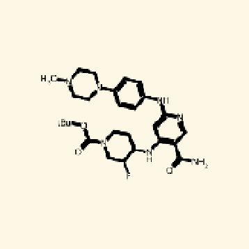 CN1CCN(c2ccc(Nc3cc(N[C@@H]4CCN(C(=O)OC(C)(C)C)C[C@@H]4F)c(C(N)=O)cn3)cc2)CC1